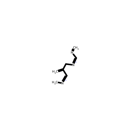 C=N/C=N\CC(=C)/C=N\C